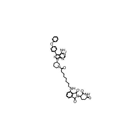 Nc1ncnc2c1c(-c1ccc(Oc3ccccc3)cc1)nn2C1CCCN(C(=O)CCCCCCCNc2cccc3c2C(=O)N(C2CCC(=O)NC2=O)C3=O)C1